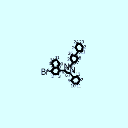 Brc1ccc(-c2cc(-c3ccccc3)nc(-c3ccc(-c4ccccc4)cc3)n2)c2ccccc12